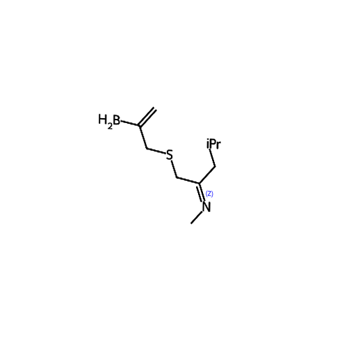 BC(=C)CSC/C(CC(C)C)=N\C